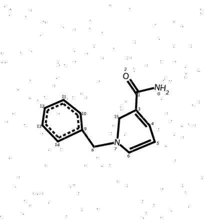 NC(=O)C1=CC=CN(Cc2ccccc2)C1